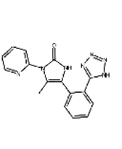 Cc1c(-c2ccccc2-c2nnn[nH]2)[nH]c(=O)n1-c1ccccn1